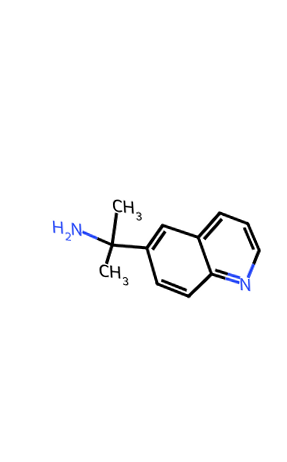 CC(C)(N)c1ccc2ncccc2c1